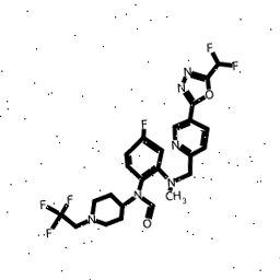 CN(Cc1ccc(-c2nnc(C(F)F)o2)cn1)c1cc(F)ccc1N(C=O)C1CCN(CC(F)(F)F)CC1